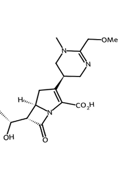 COCC1=NC[C@@H](C2=C(C(=O)O)N3C(=O)[C@H]([C@@H](C)O)[C@H]3C2)CN1C